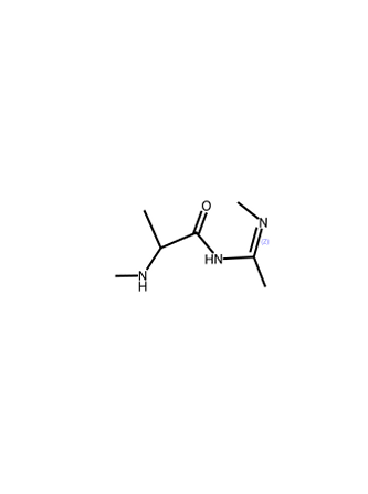 C/N=C(/C)NC(=O)C(C)NC